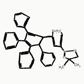 C/C=C(\C=C(/C)C1C=C(c2ccccc2)C(c2ccccc2)=C(c2ccccc2)C1c1ccccc1)B1OCC(C)(C)O1